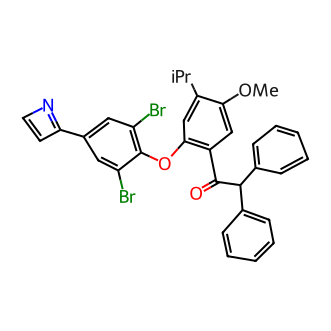 COc1cc(C(=O)C(c2ccccc2)c2ccccc2)c(Oc2c(Br)cc(C3=NC=C3)cc2Br)cc1C(C)C